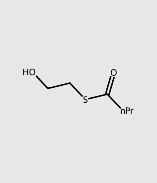 CCCC(=O)SCCO